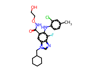 Cc1ccc(Nc2c(C(=O)NOCCO)cc3c(ncn3CC3CCCCC3)c2F)c(Cl)c1